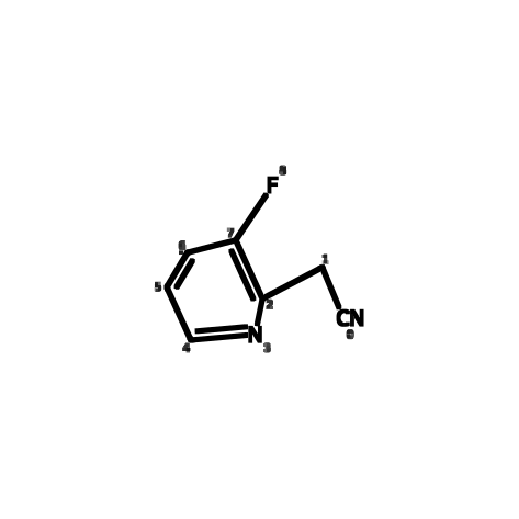 N#CCc1ncc[c]c1F